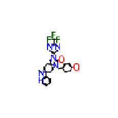 CN[C@]1(c2ccccc2)CC[C@@]2(CC1)CN(c1cnc(C(F)(F)F)nc1)C(=O)N2Cc1ccc(OC)cc1